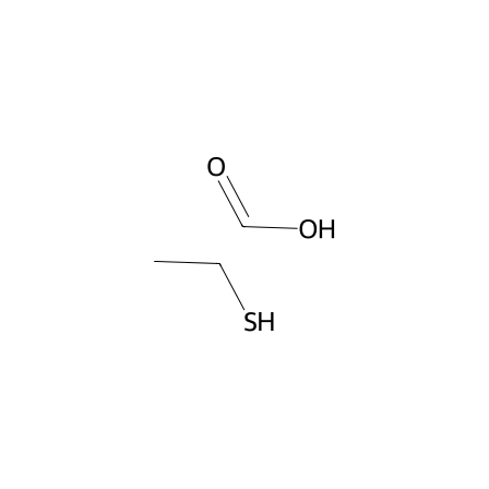 CCS.O=CO